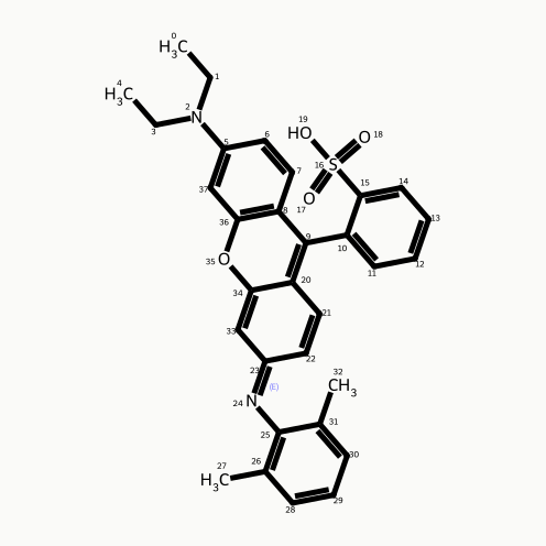 CCN(CC)c1ccc2c(-c3ccccc3S(=O)(=O)O)c3cc/c(=N\c4c(C)cccc4C)cc-3oc2c1